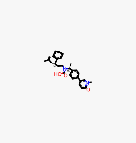 C=C(C)C[C@@H](CCN(C(=O)O)[C@@H](C)c1ccc(-c2ccc(=O)n(C)c2)cc1)c1ccccc1